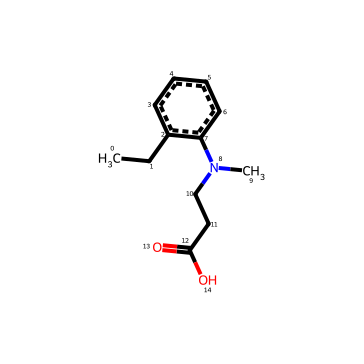 CCc1ccccc1N(C)CCC(=O)O